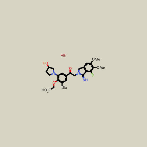 Br.COc1cc2c(c(F)c1OC)C(=N)N(CC(=O)c1cc(N3CCC(O)C3)c(OCC(=O)O)c(C(C)(C)C)c1)C2